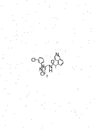 CC(C(=O)NCc1cc(C(F)(F)F)nn1-c1cccc(Cl)c1)c1cccc2cnccc12